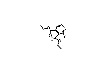 CCOC(=O)c1ccnc(Cl)c1C(=O)OCC